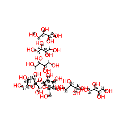 OCC(O)C(O)CO.OCC(O)C(O)CO.OCC(O)C(O)CO.OCC(O)C(O)CO.OCC(O)C(O)CO.OC[C@H]1O[C@@](CO)(O[C@H]2O[C@H](CO)[C@@H](O)[C@H](O)[C@H]2O)[C@@H](O)[C@@H]1O